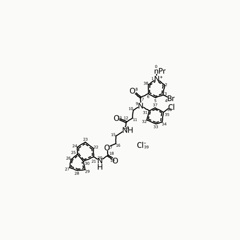 CCC[n+]1cc(Br)cc(C(=O)N(CCC(=O)NCCOC(=O)Nc2cccc3ccccc23)c2cccc(Cl)c2)c1.[Cl-]